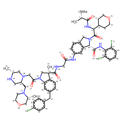 CN[C@@H](C)C(=O)NC(C(=O)N1Cc2ccc(NC(=O)CNC(=O)[C@]3(C)CN(C(=O)CN4C[C@@H](C)NC[C@@H]4CN4CCOC[C@H]4C)c4cc(Cc5ccc(F)cc5)ccc43)cc2[C@H]1C(=O)Nc1c(F)cccc1F)C1CCOCC1